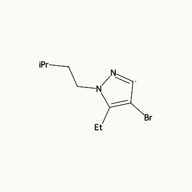 CCc1c(Br)[c]nn1CCC(C)C